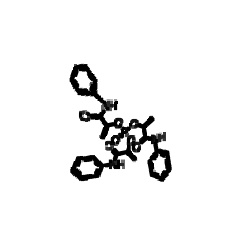 C=C(OP(=O)(OC(=C)C(=O)Nc1ccccc1)OC(=C)C(=O)Nc1ccccc1)C(=O)Nc1ccccc1